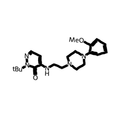 COc1ccccc1N1CCN(CCNc2ccnn(C(C)(C)C)c2=O)CC1